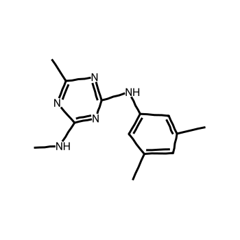 CNc1nc(C)nc(Nc2cc(C)cc(C)c2)n1